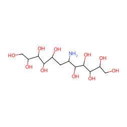 NC(CC(O)C(O)C(O)C(O)CO)C(O)C(O)C(O)C(O)CO